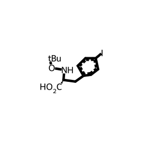 CC(C)(C)ON[C@H](Cc1ccc(I)cc1)C(=O)O